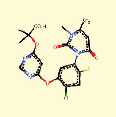 Cn1c(C(F)(F)F)cc(=O)n(-c2cc(Oc3cc(OC(C)(C)C(=O)O)ncn3)c(Cl)cc2F)c1=O